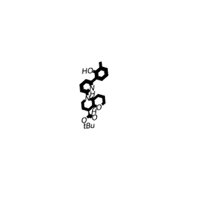 Cc1cccc(-c2cccc(N3CC[C@H](C(=O)OC(C)(C)C)[C@@H]4OCCC[C@H]43)n2)c1O